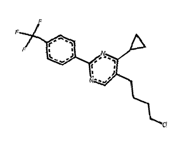 FC(F)(F)c1ccc(-c2ncc(CCCCCl)c(C3CC3)n2)cc1